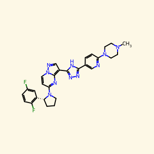 CN1CCN(c2ccc(-c3nnc(-c4cnn5ccc(N6CCC[C@@H]6c6cc(F)ccc6F)nc45)[nH]3)cn2)CC1